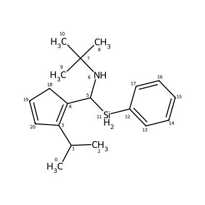 CC(C)C1=C(C(NC(C)(C)C)[SiH2]c2ccccc2)CC=C1